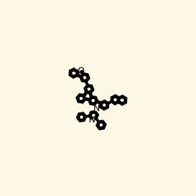 c1ccc(-c2cc(-n3c4ccc(-c5ccc6ccccc6c5)cc4c4cc5c6ccc(-c7ccc8oc9ccccc9c8c7)cc6c6ccccc6c5cc43)cc(-c3ccccc3)n2)cc1